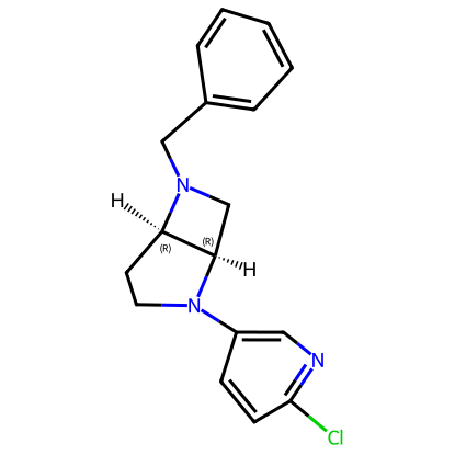 Clc1ccc(N2CC[C@@H]3[C@H]2CN3Cc2ccccc2)cn1